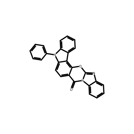 O=c1c2ccc3c(c4ccccc4n3-c3ccccc3)c2oc2nc3ccccc3n12